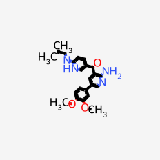 COc1ccc(-c2cnc(N)c(C(=O)c3ccc(NCC(C)C)nc3)c2)cc1OC